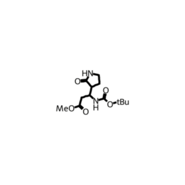 COC(=O)CC(NC(=O)OC(C)(C)C)C1CCNC1=O